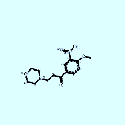 COc1ccc(C(=O)CCN2CCOCC2)cc1[N+](=O)[O-]